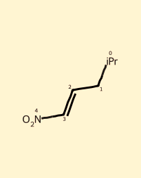 CC(C)CC=C[N+](=O)[O-]